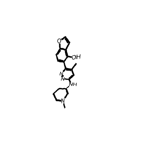 Cc1cc(N[C@@H]2CCCN(C)C2)nnc1-c1ccc2occc2c1O